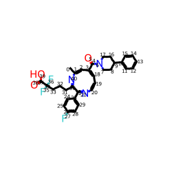 Cc1cc(C(=O)N2CCC(c3ccccc3)CC2)cccnc(-c2ccc(F)cc2)c(CCCC(F)(F)C(=O)O)n1